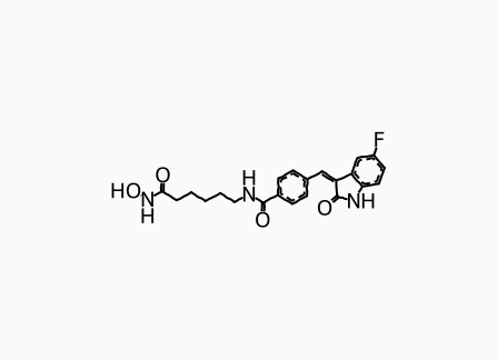 O=C(CCCCCNC(=O)c1ccc(C=C2C(=O)Nc3ccc(F)cc32)cc1)NO